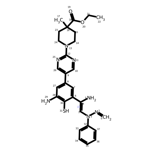 C=NN(/C=C(\N)c1cc(-c2cnc(N3CCC(C)(C(=O)OCC)CC3)nc2)cc(N)c1S)c1ccccc1